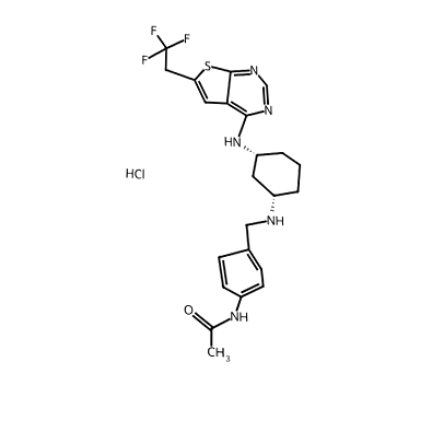 CC(=O)Nc1ccc(CN[C@H]2CCC[C@@H](Nc3ncnc4sc(CC(F)(F)F)cc34)C2)cc1.Cl